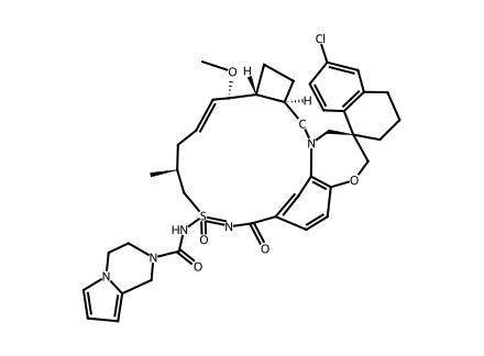 CO[C@H]1/C=C/C[C@H](C)CS(=O)(NC(=O)N2CCn3cccc3C2)=NC(=O)c2ccc3c(c2)N(C[C@@H]2CC[C@H]21)C[C@@]1(CCCc2cc(Cl)ccc21)CO3